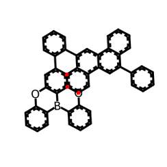 c1ccc(-c2cc3c4ccccc4c(-c4ccccc4-c4cc5c6c(c4)Oc4ccccc4B6c4ccccc4O5)cc3c3ccccc23)cc1